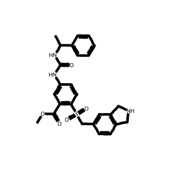 COC(=O)c1cc(NC(=O)NC(C)c2ccccc2)ccc1S(=O)(=O)Cc1ccc2c(c1)CNC2